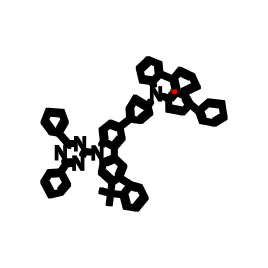 CC1(C)c2ccccc2-c2cc3c4cc(-c5ccc(N(c6ccc(-c7ccccc7)cc6)c6ccccc6-c6ccccc6)cc5)ccc4n(-c4nc(-c5ccccc5)nc(-c5ccccc5)n4)c3cc21